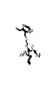 C=CCN/C(=N/CCSCc1[nH]cnc1C)NC#N